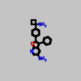 Nc1cnc2oc(-c3ccc(C4(N)CCC4)cc3)c(-c3ccccc3)c2c1